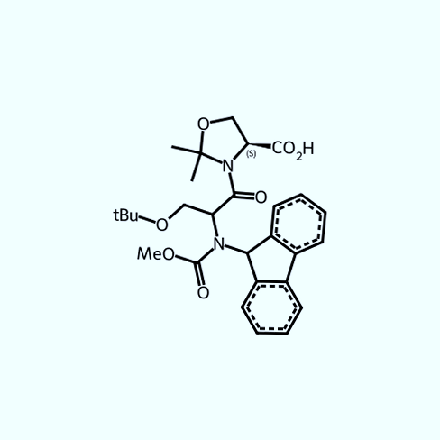 COC(=O)N(C(COC(C)(C)C)C(=O)N1[C@H](C(=O)O)COC1(C)C)C1c2ccccc2-c2ccccc21